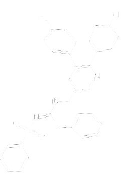 O=S(=O)(/N=C(/NCc1cnc(-c2ccc(Cl)cc2)c(-c2ccc(Cl)cc2)c1)Oc1ccccc1)c1ccccc1